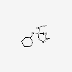 CCCN[Si](NCCC)(NCCC)NC1CCCCC1